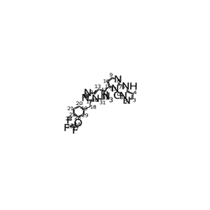 Cn1nccc1Nc1nccc(-c2cc3nnc(Cc4cccc(OC(F)(F)F)c4)n3cn2)n1